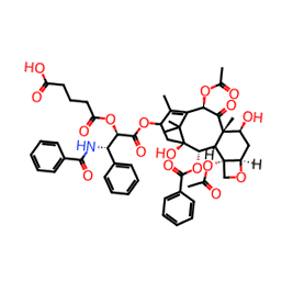 CC(=O)O[C@H]1C(=O)[C@@]2(C)[C@H]([C@H](OC(=O)c3ccccc3)[C@]3(O)CC(OC(=O)[C@H](OC(=O)CCCC(=O)O)[C@@H](NC(=O)c4ccccc4)c4ccccc4)C(C)=C1C3(C)C)[C@]1(OC(C)=O)CO[C@@H]1C[C@@H]2O